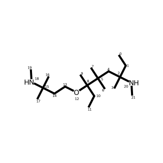 CCC(C)(CC(C)(C)C(C)(CC)OCCC(C)(C)NC)NC